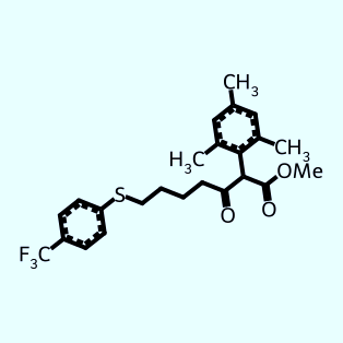 COC(=O)C(C(=O)CCCCSc1ccc(C(F)(F)F)cc1)c1c(C)cc(C)cc1C